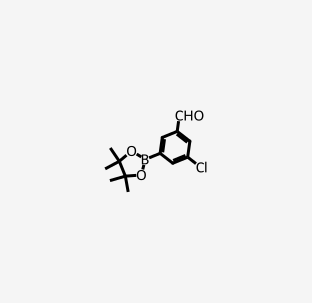 CC1(C)OB(c2cc(Cl)cc(C=O)c2)OC1(C)C